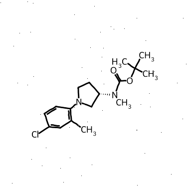 Cc1cc(Cl)ccc1N1CC[C@H](N(C)C(=O)OC(C)(C)C)C1